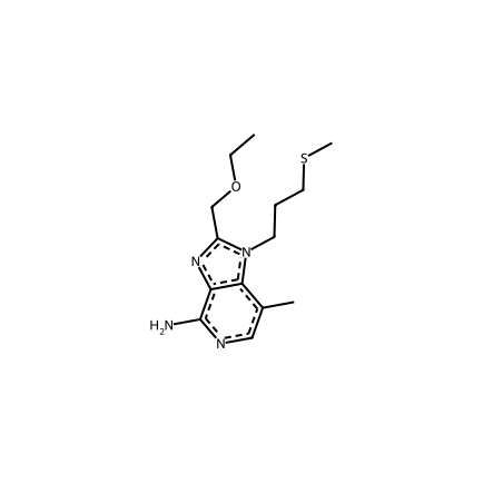 CCOCc1nc2c(N)ncc(C)c2n1CCCSC